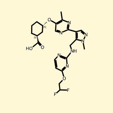 Cc1nc(-c2cnn(C)c2CNc2nccc(OCC(F)F)n2)ncc1O[C@H]1CCC[C@H](C(=O)O)C1